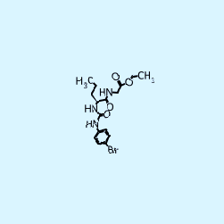 CCC[C@H](NC(=O)Nc1ccc(Br)cc1)C(=O)NCC(=O)OCC